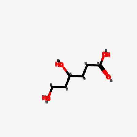 O=C(O)CCC(O)CCO